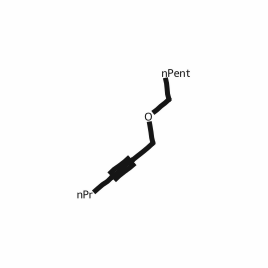 [CH2]CCCCCOCC#CCCC